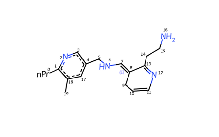 CCCc1ncc(CN/C=C2\CC=CN=C2CCN)cc1C